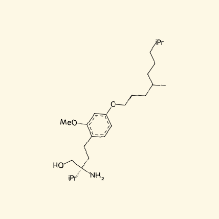 COc1cc(OCCCC(C)CCCC(C)C)ccc1CC[C@@](N)(CO)C(C)C